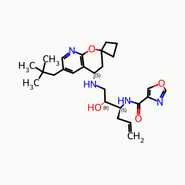 C=CC[C@H](NC(=O)c1cocn1)[C@H](O)CN[C@H]1CC2(CCC2)Oc2ncc(CC(C)(C)C)cc21